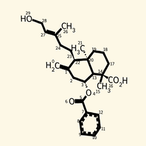 C=C1C[C@@H](OC(=O)c2ccccc2)C2[C@](C)(C(=O)O)CCC[C@]2(C)[C@@H]1CC/C(C)=C/CO